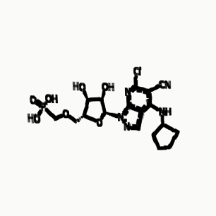 N#Cc1c(Cl)nc2c(cnn2[C@H]2O[C@H](COCP(=O)(O)O)[C@@H](O)[C@H]2O)c1NC1CCCC1